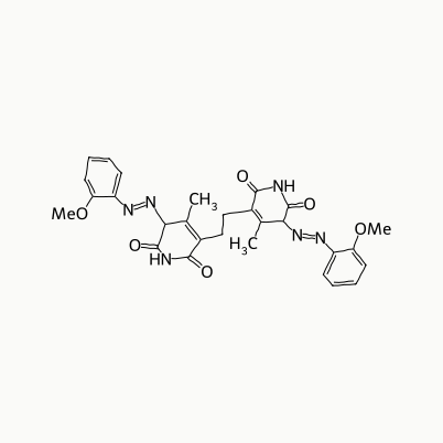 COc1ccccc1N=NC1C(=O)NC(=O)C(CCC2=C(C)C(N=Nc3ccccc3OC)C(=O)NC2=O)=C1C